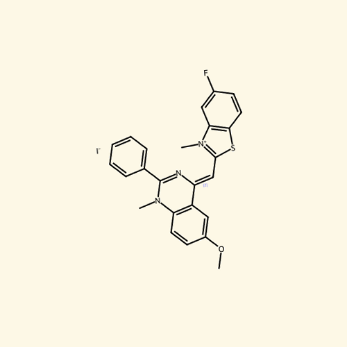 COc1ccc2c(c1)/C(=C/c1sc3ccc(F)cc3[n+]1C)N=C(c1ccccc1)N2C.[I-]